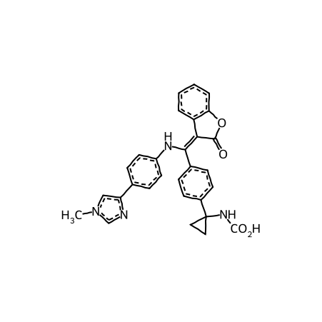 Cn1cnc(-c2ccc(NC(=C3C(=O)Oc4ccccc43)c3ccc(C4(NC(=O)O)CC4)cc3)cc2)c1